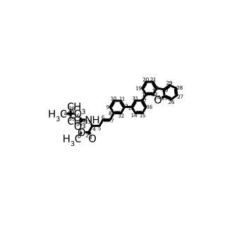 COC(=O)C(CC=Cc1cccc(-c2cccc(-c3cccc4c3oc3ccccc34)c2)c1)NC(=O)OC(C)(C)C